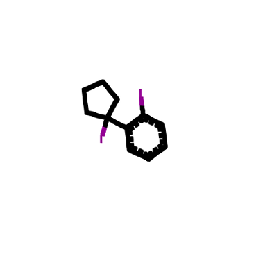 Ic1ccccc1C1(I)CCCC1